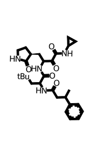 CC(CC(=O)NC(CC(C)(C)C)C(=O)NC(C[C@@H]1CCNC1=O)C(=O)C(=O)NC1CC1)c1ccccc1